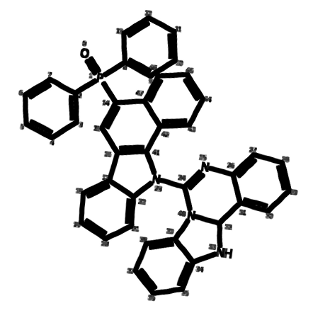 O=P(c1ccccc1)(c1ccccc1)c1cc2c3ccccc3n(C3=Nc4ccccc4C4Nc5ccccc5N34)c2c2ccccc12